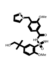 COc1cc(C(=O)NS(=N)(=O)c2cc(C(C)(C)CO)ccc2OC)ccc1Cn1cccn1